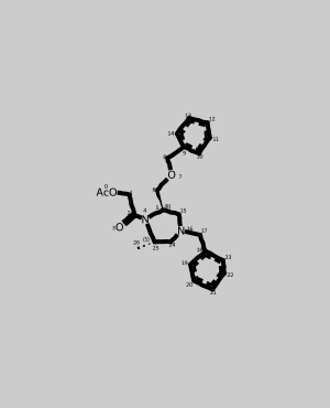 CC(=O)OCC(=O)N1[C@@H](COCc2ccccc2)CN(Cc2ccccc2)C[C@@H]1C